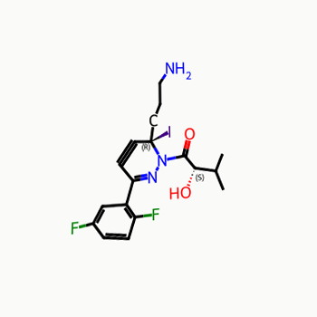 CC(C)[C@H](O)C(=O)N1N=C(c2cc(F)ccc2F)C#C[C@]1(I)CCCN